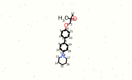 CC1(COc2ccc(-c3ccc(N4CCCCC4)cc3)cc2)CO1